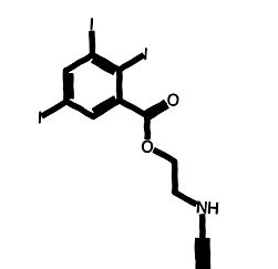 C#CNCCOC(=O)c1cc(I)cc(I)c1I